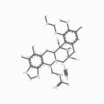 COCOc1c(OC)c(C)cc2c1[C@H]1C3Cc4c(C)c(C)c5c(c4[C@H](CNC(C)=O)N3[C@@H](C#N)[C@@H](C2)N1C)OCO5